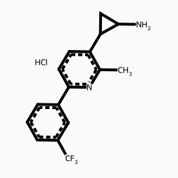 Cc1nc(-c2cccc(C(F)(F)F)c2)ccc1C1CC1N.Cl